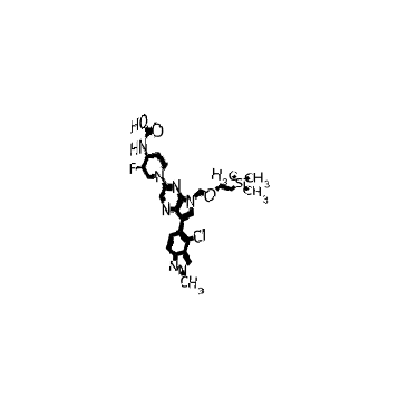 Cn1cc2c(Cl)c(-c3cn(COCC[Si](C)(C)C)c4nc(N5CC[C@H](NC(=O)O)[C@H](F)C5)cnc34)ccc2n1